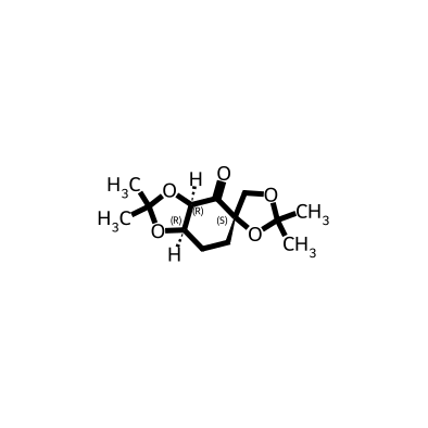 CC1(C)O[C@@H]2CC[C@]3(COC(C)(C)O3)C(=O)[C@@H]2O1